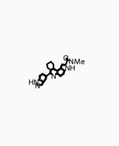 CNC(=O)c1cc2c(ccc3nc(-c4ccc5[nH]ncc5c4)c4c(c32)CCCC4)[nH]1